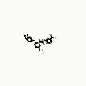 C[C@H]1CC[C@H](Cc2ccc3scnc3c2)N(C(=O)C(=O)Nc2cncc(C(N)=O)c2)C1